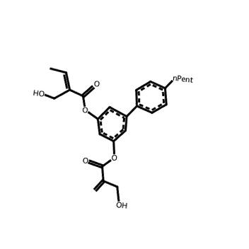 C=C(CO)C(=O)Oc1cc(OC(=O)/C(=C/C)CO)cc(-c2ccc(CCCCC)cc2)c1